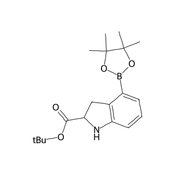 CC(C)(C)OC(=O)C1Cc2c(cccc2B2OC(C)(C)C(C)(C)O2)N1